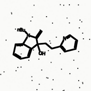 C=C1N(CCCC)c2ccccc2C1(O)CCc1ccccn1